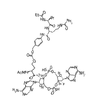 CCC(=O)N[C@H](C(=O)N[C@@H](CCCNC(N)=O)C(=O)Nc1ccc(COC(=O)OCC[C@H](NC(C)=O)C(=O)O[C@@H]2[C@@H]3O[P@](=O)(S)OC[C@H]4O[C@@H](n5cnc6c(N)ncnc65)[C@H](F)[C@@H]4O[P@](=O)(S)OC[C@H]3O[C@H]2n2cnc3c(N)ncnc32)cc1)C(C)C